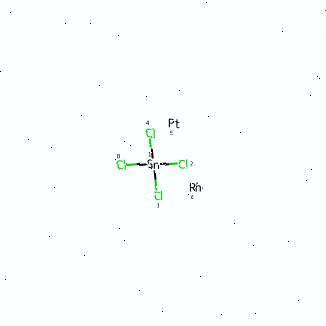 [Cl][Sn]([Cl])([Cl])[Cl].[Pt].[Rh]